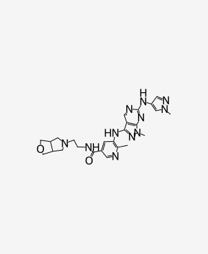 Cc1ncc(C(=O)NCCN2CC3COCC3C2)cc1Nc1nn(C)c2nc(Nc3cnn(C)c3)ncc12